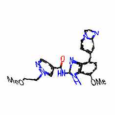 COCCn1cc(C(=O)Nc2nc3c(-c4ccn5ccnc5c4)ccc(OC)c3[nH]2)cn1